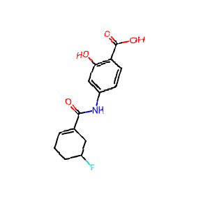 O=C(Nc1ccc(C(=O)O)c(O)c1)C1=CCCC(F)C1